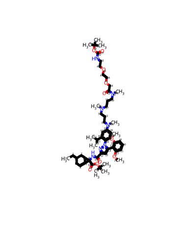 CCC1CC=C2C(C1)C2(NC(=O)c1cc(-c2c(OC)cccc2OC)n(-c2ccc(N(C)CCCN(C)CCCN(C)C(=O)COCCOCCNC(=O)OC(C)(C)C)cc2C(C)C)n1)C(=O)OC(C)(C)C